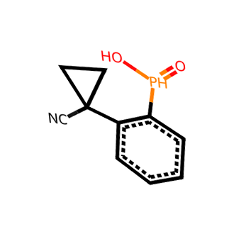 N#CC1(c2ccccc2[PH](=O)O)CC1